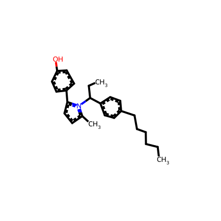 CCCCCCc1ccc(C(CC)n2c(C)ccc2-c2ccc(O)cc2)cc1